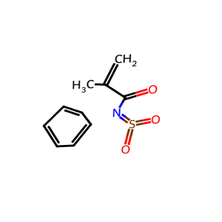 C=C(C)C(=O)N=S(=O)=O.c1ccccc1